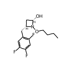 CCCCON1[C@H](Cc2cc(F)c(F)cc2F)C[C@@H]1O